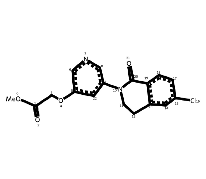 COC(=O)COc1cncc(N2CCc3cc(Cl)ccc3C2=O)c1